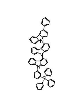 c1ccc(-c2ccc3c(c2)c2ccccc2n3-c2cccc3c2c2ccccc2n3-c2cccc3c2c2ccccc2n3-c2cccc([Si](c3ccccc3)(c3ccccc3)c3ccccc3)c2)cc1